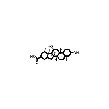 C[C@@H]1CC(C(=O)O)CC2C[C@H]3[C@@H]4CC[C@@H]5C[C@H](O)CC[C@]5(C)[C@H]4C[C@H](O)[C@]3(C)[C@H]21